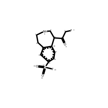 O=C(CF)C1CNCCc2cc(S(=O)(=O)F)ccc21